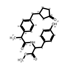 COC(=O)C(Cc1ccc(O)cc1)NC(=O)C(C)c1ccc(CC2CCC(=O)C2)cc1